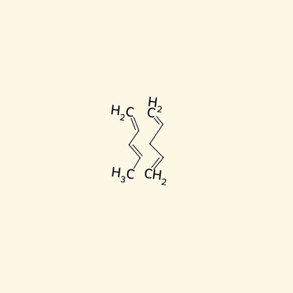 C=CC=CC.C=CCC=C